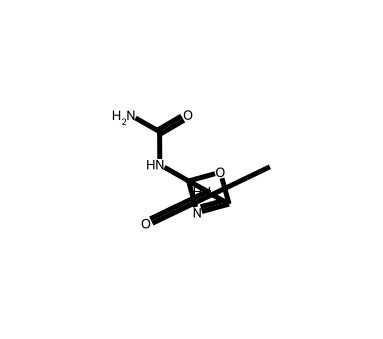 NC(=O)NC12N=C(NC1=O)O2